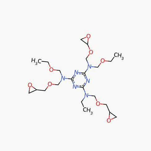 CCOCN(COCC1CO1)c1nc(N(CC)COCC2CO2)nc(N(COCC)COC2CO2)n1